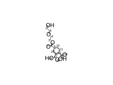 O=C(OCCOCCO)c1ccc(C(=O)O)c(C(=O)O)c1